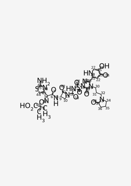 CC(C)(ON=C(C(=O)N[C@H]1CN(C(=O)NS(=O)(=O)n2nc(-c3cc(=O)c(O)c[nH]3)n(CCCN3CCCC3=O)c2=O)C1=O)c1csc(N)n1)C(=O)O